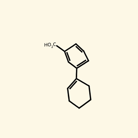 O=C(O)c1cccc(C2=CCCCC2)c1